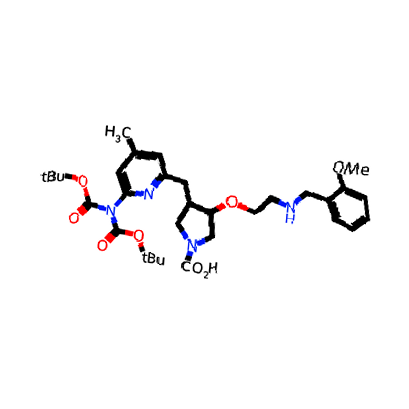 COc1ccccc1CNCCOC1CN(C(=O)O)CC1Cc1cc(C)cc(N(C(=O)OC(C)(C)C)C(=O)OC(C)(C)C)n1